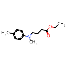 CCOC(=O)CCCN(C)c1ccc(C)cc1